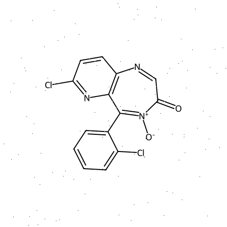 O=c1cnc2ccc(Cl)nc2c(-c2ccccc2Cl)[n+]1[O-]